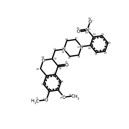 COc1cc2c(cc1OC)C(=O)C(CN1CCN(c3ccccc3[N+](=O)[O-])CC1)OC2